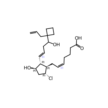 C=CCC1(C(O)C/C=C/[C@@H]2[C@@H](C/C=C\CCCC(=O)O)[C@H](Cl)C[C@H]2O)CCC1